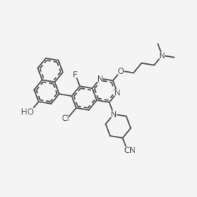 CN(C)CCCOc1nc(N2CCC(C#N)CC2)c2cc(Cl)c(-c3cc(O)cc4ccccc34)c(F)c2n1